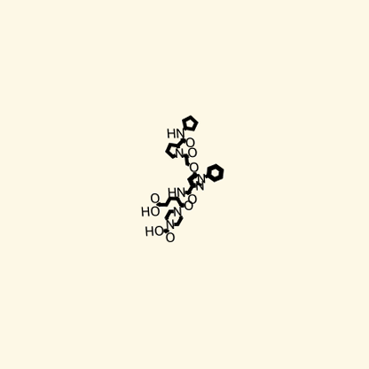 O=C(O)CCC(NC(=O)c1cc(OCC(=O)N2CCCC2C(=O)NC2CCCC2)n(-c2ccccc2)n1)C(=O)N1CCN(C(=O)O)CC1